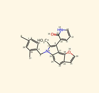 Cc1ccc(Cn2c(C(=O)O)c(-c3ccc[nH]c3=O)c3c4occc4ccc32)c(C)c1